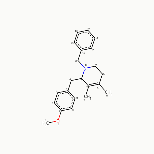 COc1ccc(CC2C(C)=C(C)CCN2Cc2ccccc2)cc1